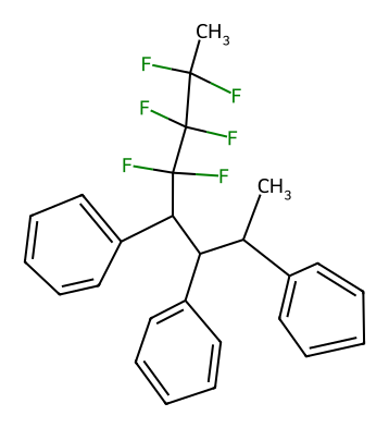 CC(c1ccccc1)C(c1ccccc1)C(c1ccccc1)C(F)(F)C(F)(F)C(C)(F)F